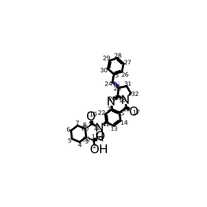 O=C(O)[C@H]1CCCC[C@H]1C(=O)Nc1ccc2c(=O)n3c(nc2c1)/C(=C/c1ccccc1)CC3